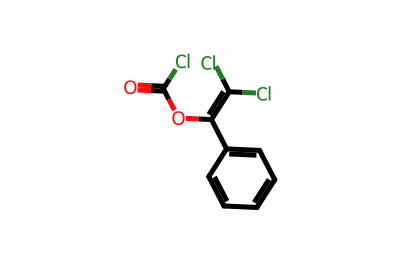 O=C(Cl)OC(=C(Cl)Cl)c1ccccc1